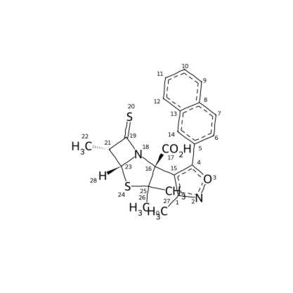 Cc1noc(-c2ccc3ccccc3c2)c1[C@@]1(C(=O)O)N2C(=S)[C@@H](C)[C@H]2SC1(C)C